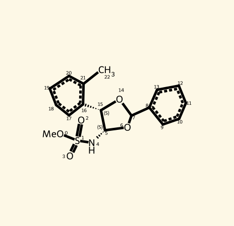 COS(=O)(=O)N[C@H]1OC(c2ccccc2)O[C@H]1c1ccccc1C